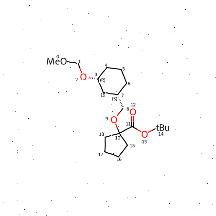 COCO[C@@H]1CCC[C@H](COC2(C(=O)OC(C)(C)C)CCCC2)C1